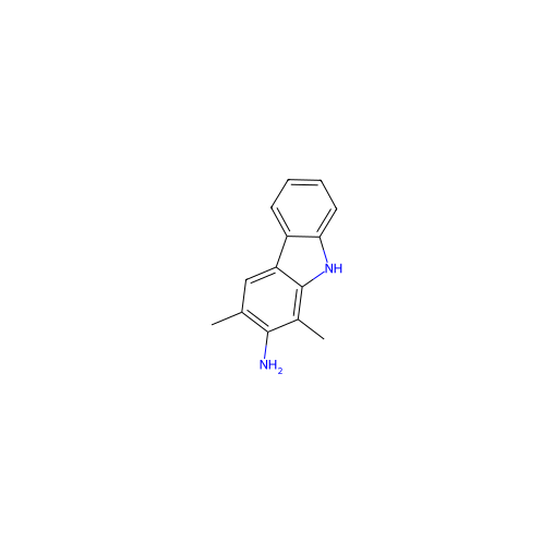 Cc1cc2c([nH]c3ccccc32)c(C)c1N